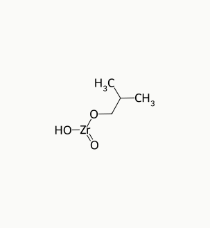 CC(C)C[O][Zr](=[O])[OH]